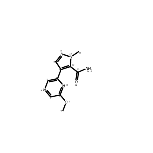 COc1cncc(-c2cnn(C)c2C(N)=O)n1